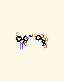 CS(=O)(=O)C1(c2ccc(OCCN3CCC4(CC3)C(=O)Nc3ccc(Cl)cc34)cc2)CC2(COC2)C1